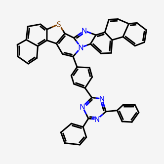 c1ccc(-c2nc(-c3ccccc3)nc(-c3ccc(-c4cc5c(sc6ccc7ccccc7c65)c5nc6c7ccc8ccccc8c7ccc6n45)cc3)n2)cc1